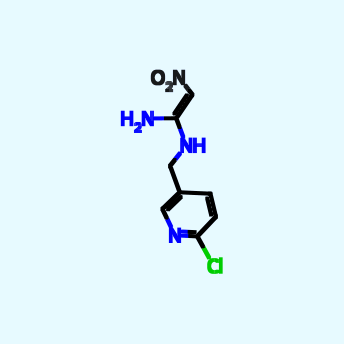 NC(=C[N+](=O)[O-])NCc1ccc(Cl)nc1